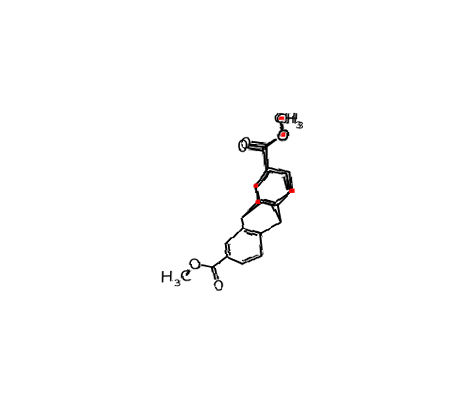 COC(=O)c1ccc2c(c1)C1c3cc(C(=O)OC)ccc3C2c2ccc(C(=O)OC)cc21